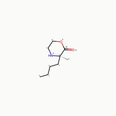 CCCC[C@@]1(C)NCCOC1=O